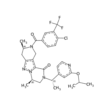 CC(C)Oc1cc([C@H](C)N2C[C@@H](C)n3nc4c(c3C2=O)CN(C(=O)c2ccc(Cl)c(C(F)(F)F)c2)[C@H](C)C4)ccn1